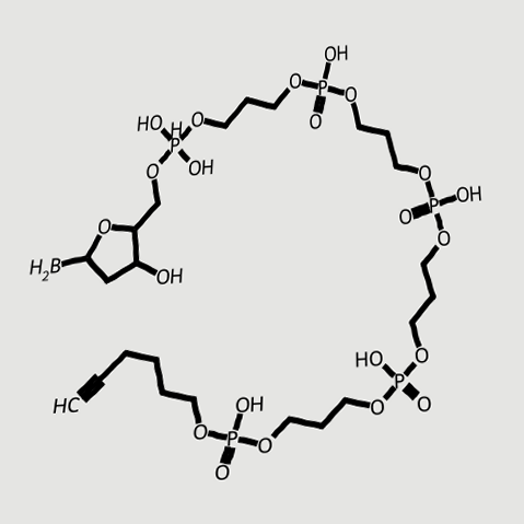 BC1CC(O)C(CO[PH](O)(O)OCCCOP(=O)(O)OCCCOP(=O)(O)OCCCOP(=O)(O)OCCCOP(=O)(O)OCCCCC#C)O1